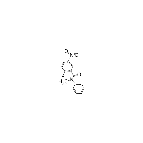 CN(C(=O)c1cc([N+](=O)[O-])ccc1F)c1ccccc1